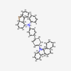 C1=C(c2ccc(N(c3ccccc3)c3cccc4sc5ccccc5c34)cc2)CCC(n2c3ccccc3c3ccc4ccccc4c32)=C1